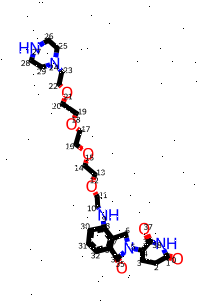 O=C1CCC(N2Cc3c(NCCOCCOCCOCCOCCN4CCNCC4)cccc3C2=O)C(=O)N1